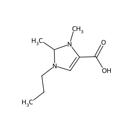 CCCN1C=C(C(=O)O)N(C)C1C